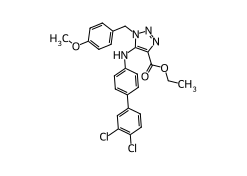 CCOC(=O)c1nnn(Cc2ccc(OC)cc2)c1Nc1ccc(-c2ccc(Cl)c(Cl)c2)cc1